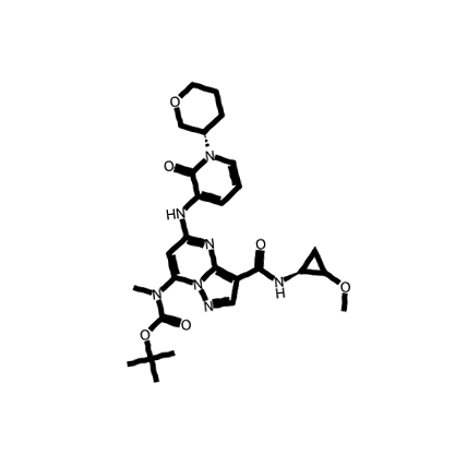 COC1C[C@@H]1NC(=O)c1cnn2c(N(C)C(=O)OC(C)(C)C)cc(Nc3cccn([C@H]4CCCOC4)c3=O)nc12